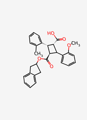 COc1ccccc1C1[C@@H](C(=O)O)[C@@H](c2ccccc2C)[C@@H]1C(=O)OC1Cc2ccccc2C1